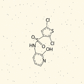 O=S(=O)(Nc1cccnc1O)c1cc(Cl)sc1Cl